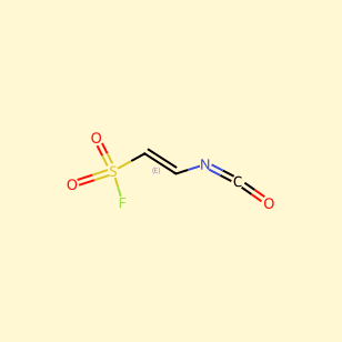 O=C=N/C=C/S(=O)(=O)F